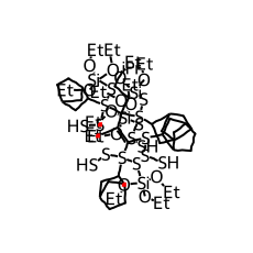 CCO[Si](OCC)(OCC)SS(SS)(C(=C(CC)C(CCC(C)C)(S(SS)(S[Si](OCC)(OCC)OCC)C1CC2CCC1C2)S(SS)(S[Si](OCC)(OCC)OCC)C1CC2CCC1C2)S(SS)(S[Si](OCC)(OCC)OCC)C1CC2CCC1C2)C1CC2CCC1C2